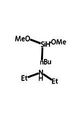 CCCC[SiH](OC)OC.CCNCC